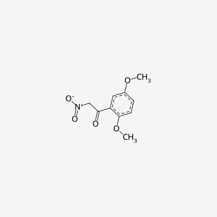 COc1ccc(OC)c(C(=O)C[N+](=O)[O-])c1